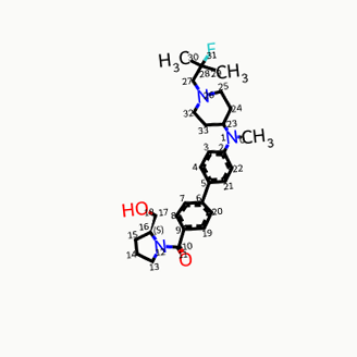 CN(c1ccc(-c2ccc(C(=O)N3CCC[C@H]3CO)cc2)cc1)C1CCN(CC(C)(C)F)CC1